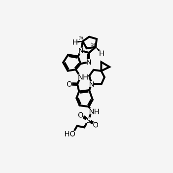 O=C(Nc1cccc2c1nc1n2[C@@H]2CC[C@H]1C2)c1ccc(NS(=O)(=O)CCO)cc1N1CCC2(CC1)CC2